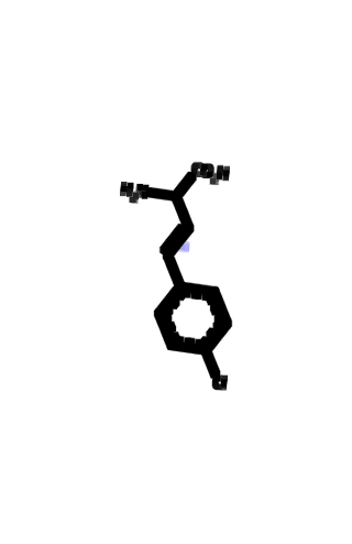 NC(/C=C/c1ccc(Cl)cc1)C(=O)O